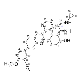 COc1ccc(C2CCC(CN(C(=O)C3CCC(O)CC3)c3cc(/C(C=N)=C/NC4CC4)ccn3)CC2)cc1C#N